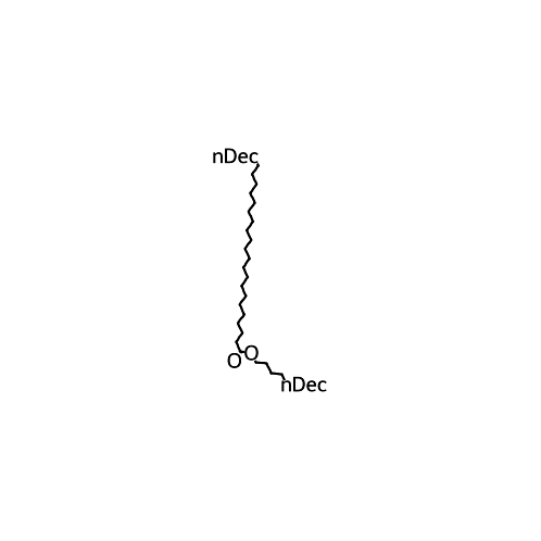 CCCCCCCCCCCCCCCCCCCCCCCCCCCCCCC(=O)OCCCCCCCCCCCCCC